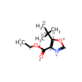 CCOC(=O)c1ncoc1C(C)(C)C